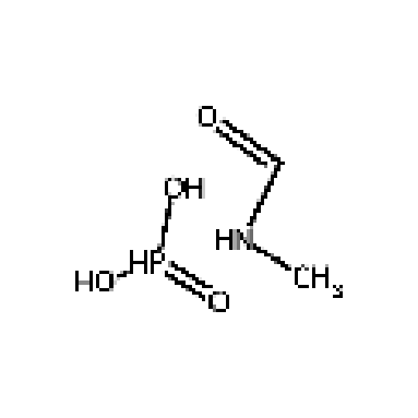 CNC=O.O=[PH](O)O